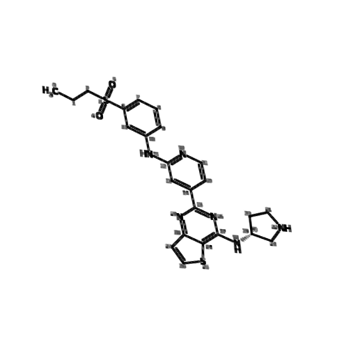 CCCS(=O)(=O)c1cccc(Nc2cc(-c3nc(N[C@@H]4CCNC4)c4sccc4n3)ccn2)c1